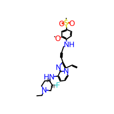 C=Cc1c(C#CCNc2ccc(S(C)(=O)=O)cc2OC)nc2c(N[C@@H]3CCN(CC)C[C@@H]3F)cccn12